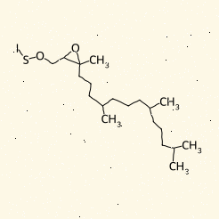 CC(C)CCCC(C)CCCC(C)CCCC1(C)OC1COSI